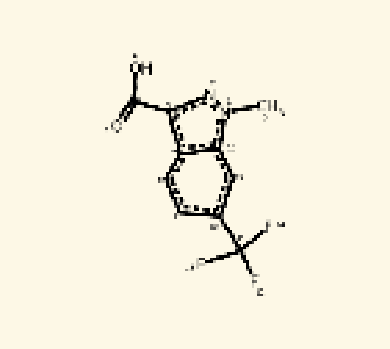 Cn1nc(C(=O)O)c2ccc(C(F)(F)F)cc21